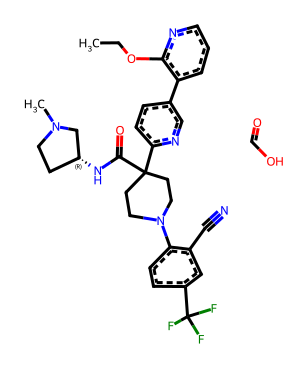 CCOc1ncccc1-c1ccc(C2(C(=O)N[C@@H]3CCN(C)C3)CCN(c3ccc(C(F)(F)F)cc3C#N)CC2)nc1.O=CO